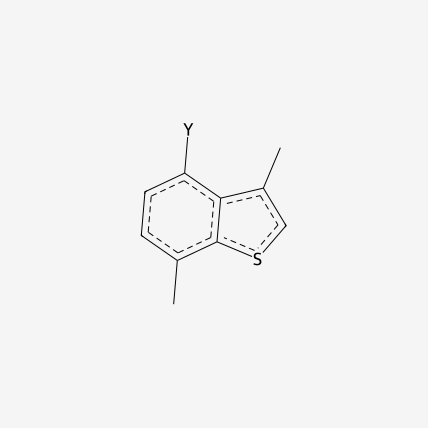 Cc1cc[c]([Y])c2c(C)csc12